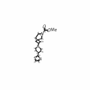 COC(=O)N1CCC2(CC(N3CCC(c4nccs4)CC3)C2)C1